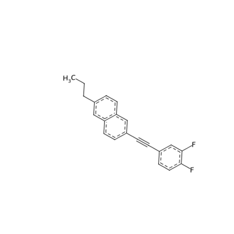 CCCc1ccc2cc(C#Cc3ccc(F)c(F)c3)ccc2c1